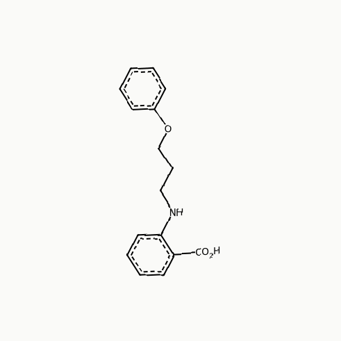 O=C(O)c1ccccc1NCCCOc1ccccc1